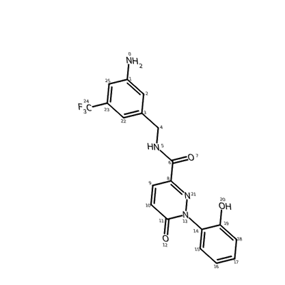 Nc1cc(CNC(=O)c2ccc(=O)n(-c3ccccc3O)n2)cc(C(F)(F)F)c1